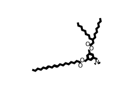 CCCCCC=CCC=CCCCCCCCC(=O)OCc1cc(COC(=O)CC(CCCCCCCC)CCCCCCCC)cc(CN(C)C)c1